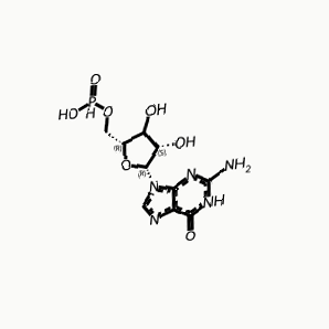 Nc1nc2c(ncn2[C@@H]2O[C@H](CO[PH](=O)O)C(O)[C@@H]2O)c(=O)[nH]1